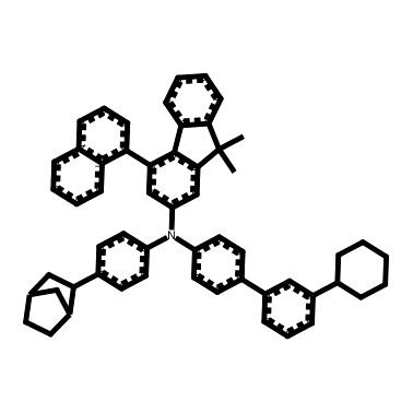 CC1(C)c2ccccc2-c2c(-c3cccc4ccccc34)cc(N(c3ccc(-c4cccc(C5CCCCC5)c4)cc3)c3ccc(C4CC5CCC4C5)cc3)cc21